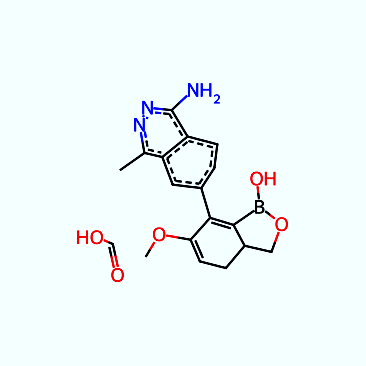 COC1=CCC2COB(O)C2=C1c1ccc2c(N)nnc(C)c2c1.O=CO